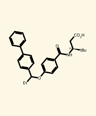 CCC(Oc1ccc(C(=O)N[C@@H](CC(=O)O)C(C)(C)C)cc1)c1ccc(-c2ccccc2)cc1